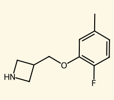 Cc1ccc(F)c(OCC2CNC2)c1